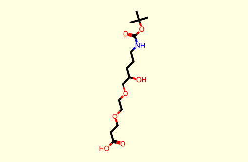 CC(C)(C)OC(=O)NCCCC(O)COCCOCCC(=O)O